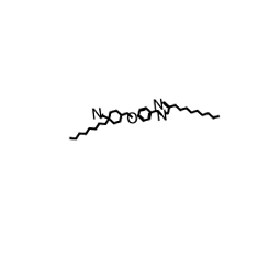 CCCCCCCCCc1cnc(-c2ccc(OCC3CCC(C#N)(CCCCCCCC)CC3)cc2)nc1